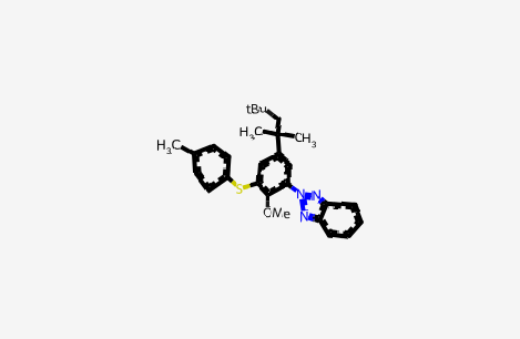 COc1c(Sc2ccc(C)cc2)cc(C(C)(C)CC(C)(C)C)cc1-n1nc2ccccc2n1